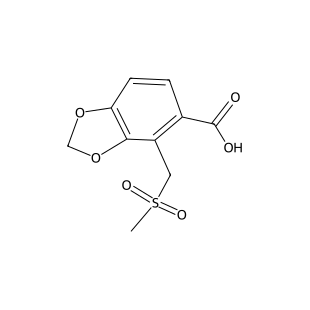 CS(=O)(=O)Cc1c(C(=O)O)ccc2c1OCO2